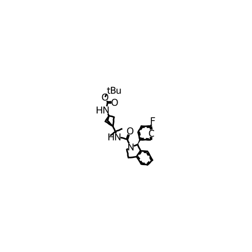 CC(C)(C)OC(=O)NC12CC(C(C)(C)NC(=O)N3CCc4ccccc4[C@@H]3c3ccc(F)cc3)(C1)C2